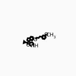 COc1cccc(CCCOc2ccc3c(c2)C(C(=O)C2CC2)(C2CCNCC2)CC3)c1